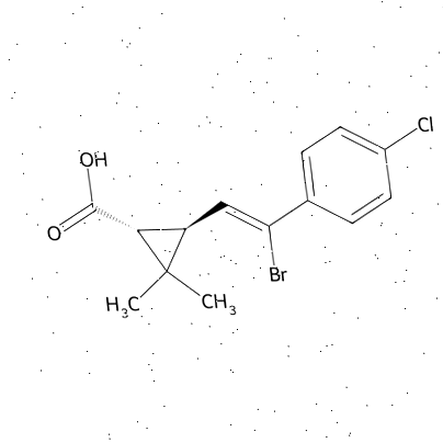 CC1(C)[C@H](/C=C(\Br)c2ccc(Cl)cc2)[C@H]1C(=O)O